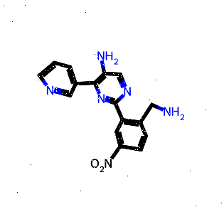 NCc1ccc([N+](=O)[O-])cc1-c1ncc(N)c(-c2cccnc2)n1